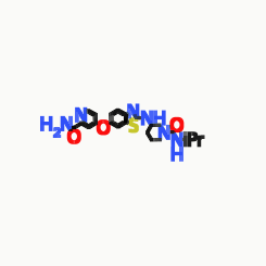 CC(C)NC(=O)N1CCC[C@H](Nc2nc3ccc(Oc4ccnc(C(N)=O)c4)cc3s2)C1